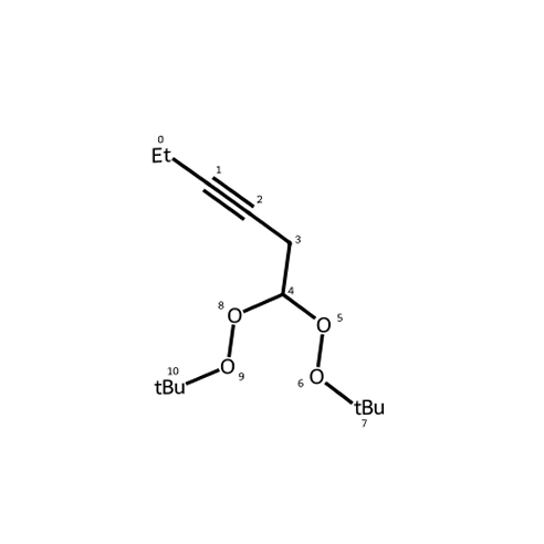 CCC#CCC(OOC(C)(C)C)OOC(C)(C)C